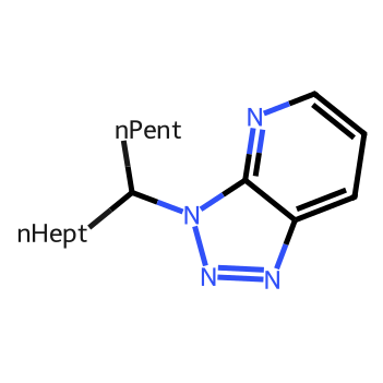 CCCCCCCC(CCCCC)n1nnc2cccnc21